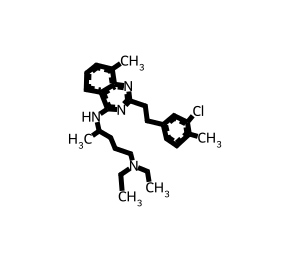 CCN(CC)CCCC(C)Nc1nc(CCc2ccc(C)c(Cl)c2)nc2c(C)cccc12